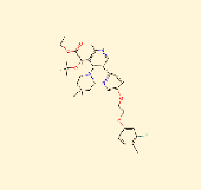 Cc1ccc(OCCOc2ccc(-c3cnc(C)c([C@H](OC(C)(C)C)C(=O)OC(C)C)c3N3CCC(C)(C)CC3)nc2)cc1F